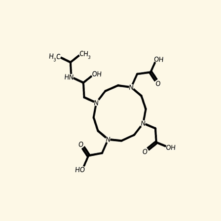 CC(C)NC(O)CN1CCN(CC(=O)O)CCN(CC(=O)O)CCN(CC(=O)O)CC1